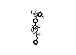 O=C(CN1C(=O)SC(=C2CCN(C(=O)c3cc(F)ccc3C(F)(F)F)CC2)C1=O)NCCc1ccccc1